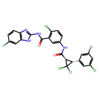 O=C(Nc1nc2ccc(F)cc2[nH]1)c1cc(NC(=O)[C@H]2[C@H](c3cc(Cl)cc(Cl)c3)C2(Cl)Cl)ccc1Cl